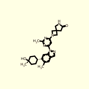 Cc1nc(N2CC3(CNC(=O)C3)C2)cc(-n2ncc3cc(C)c([C@H]4CC[C@@](C)(O)CC4)cc32)n1